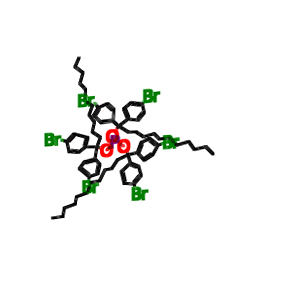 CCCCCCCCCCCC(OP(OC(CCCCCCCCCCC)(c1ccc(Br)cc1)c1ccc(Br)cc1)OC(CCCCCCCCCCC)(c1ccc(Br)cc1)c1ccc(Br)cc1)(c1ccc(Br)cc1)c1ccc(Br)cc1